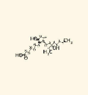 CCCCCC(O)(CC)CC=C1CC[C@@H](O)[C@@H]1CCCCCCC(=O)O